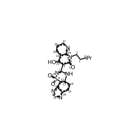 CC(C)CCn1c(=O)c(C2=NS(=O)(=O)c3c(ccc4nsnc34)N2)c(O)c2cccnc21